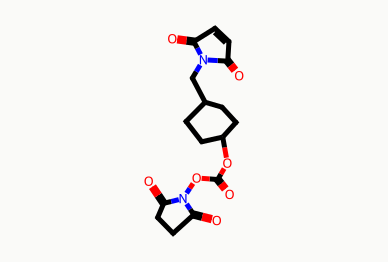 O=C(OC1CCC(CN2C(=O)C=CC2=O)CC1)ON1C(=O)CCC1=O